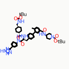 Cc1ccc(C(=O)NC2CCN(C(=O)OC(C)(C)C)CC2)cc1-c1ccc(C[C@H](NC(=O)[C@H]2CC[C@H](CNC(=O)OC(C)(C)C)CC2)C(=O)Nc2ccc(-c3nn[nH]n3)cc2)cc1